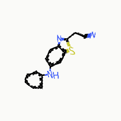 N#CCc1nc2ccc(Nc3ccccc3)cc2s1